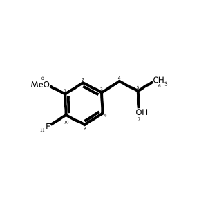 COc1cc(CC(C)O)ccc1F